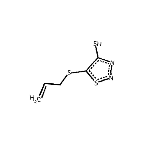 C=CCSc1snnc1S